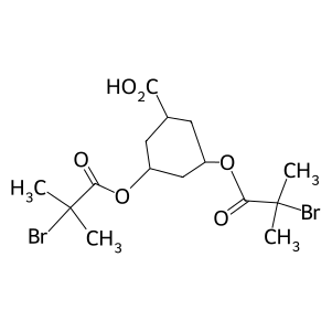 CC(C)(Br)C(=O)OC1CC(OC(=O)C(C)(C)Br)CC(C(=O)O)C1